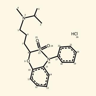 CC(C)N(C)CCCC1Oc2ccccc2N(c2ccccc2)S1(=O)=O.Cl